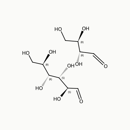 O=C[C@@H](O)[C@@H](O)[C@H](O)[C@H](O)CO.O=C[C@H](O)[C@H](O)CO